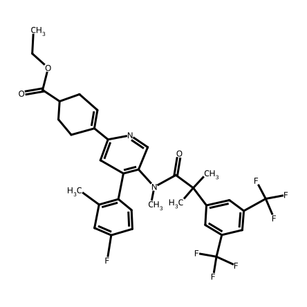 CCOC(=O)C1CC=C(c2cc(-c3ccc(F)cc3C)c(N(C)C(=O)C(C)(C)c3cc(C(F)(F)F)cc(C(F)(F)F)c3)cn2)CC1